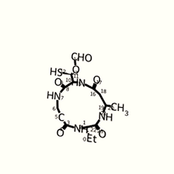 CC[C@@H]1NC(=O)CCNC(=O)C([C@@H](S)OC=O)NC(=O)CC(C)NC1=O